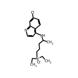 CC[N+]([O-])(CC)CCCC(C)Nc1ccnc2cc(Cl)ccc12